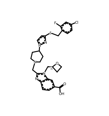 O=C(O)c1ccc2nc(CN3CCC(n4ccc(SCc5ccc(Cl)cc5F)n4)CC3)n(C[C@@H]3CCO3)c2c1